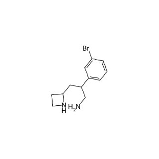 NCC(CC1CCN1)c1cccc(Br)c1